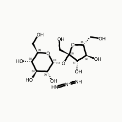 N=[N+]=N.OC[C@H]1O[C@@](CO)(O[C@H]2O[C@H](CO)[C@@H](O)[C@H](O)[C@H]2O)[C@@H](O)[C@@H]1O